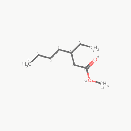 CCCCC(CC)CC(=O)OC